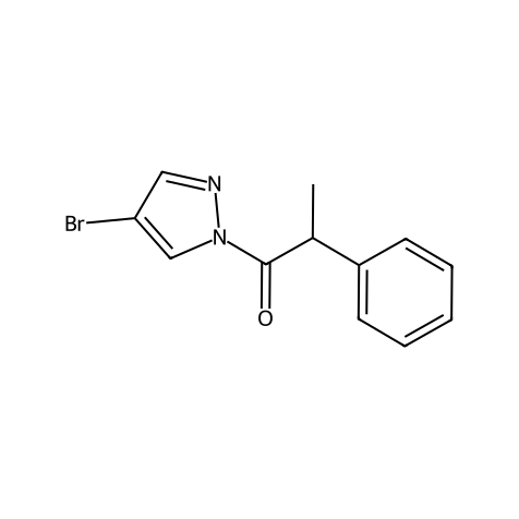 CC(C(=O)n1cc(Br)cn1)c1ccccc1